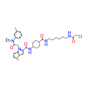 CCN(C(=O)Cn1c(C(=O)NC2CCC(C(=O)NCCCCCCNC(=O)CCl)CC2)cc2sccc21)c1cccc(C)c1